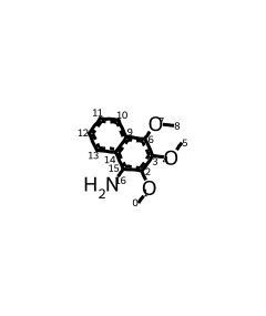 COc1c(OC)c(OC)c2ccccc2c1N